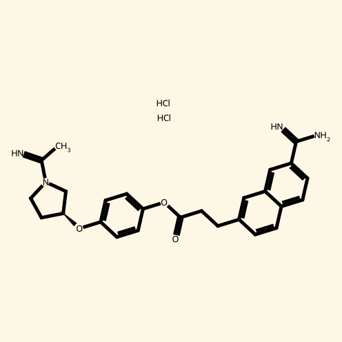 CC(=N)N1CC[C@H](Oc2ccc(OC(=O)CCc3ccc4ccc(C(=N)N)cc4c3)cc2)C1.Cl.Cl